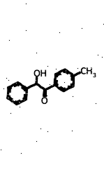 Cc1ccc(C(=O)C(O)c2ccccc2)cc1